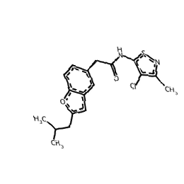 Cc1nsc(NC(=O)Cc2ccc3oc(CC(C)C)cc3c2)c1Cl